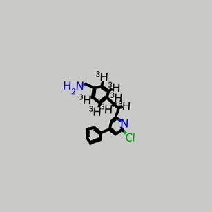 [3H][C](c1cc(-c2ccccc2)cc(Cl)n1)C([3H])([3H])c1c([3H])c([3H])c(CN)c([3H])c1[3H]